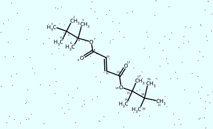 CC(C)(C)C(C)(C)OC(=O)/C=C/C(=O)OC(C)(C)C(C)(C)C